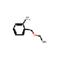 CC(C)(C)COCc1ccccc1C(F)(F)F